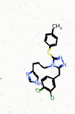 Cc1ccc(Sc2nnc(Cc3ccc(Cl)c(Cl)c3)n2CCCc2c[nH]cn2)cc1